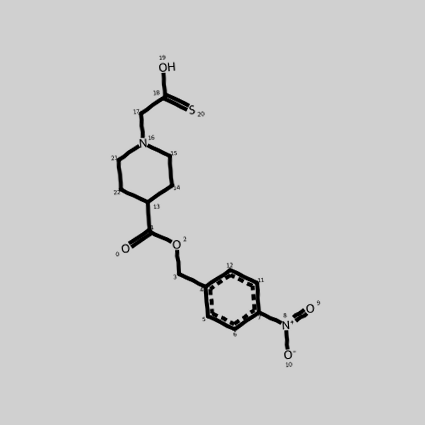 O=C(OCc1ccc([N+](=O)[O-])cc1)C1CCN(CC(O)=S)CC1